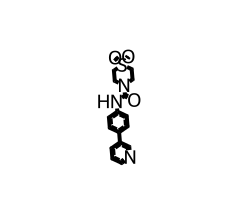 O=C(Nc1ccc(-c2cccnc2)cc1)N1CCS(=O)(=O)CC1